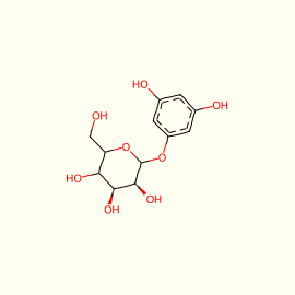 OCC1OC(Oc2cc(O)cc(O)c2)[C@@H](O)[C@@H](O)C1O